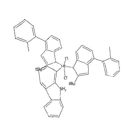 Cc1ccccc1-c1cccc2c1C=C(C(C)(C)C)[CH]2[Hf]([Cl])([Cl])([c]1cccc2c1[SiH2]c1ccccc1-2)[CH]1C(C(C)(C)C)=Cc2c(-c3ccccc3C)cccc21